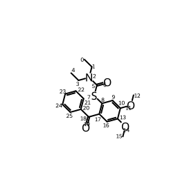 CCN(CC)C(=O)Sc1cc(OC)c(OC)cc1C(=O)c1ccccc1